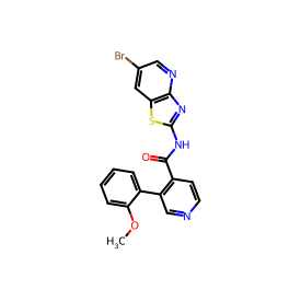 COc1ccccc1-c1cnccc1C(=O)Nc1nc2ncc(Br)cc2s1